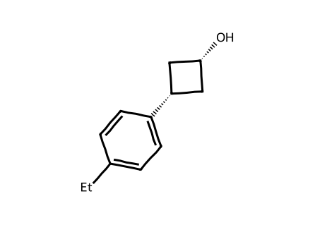 CCc1ccc([C@H]2C[C@@H](O)C2)cc1